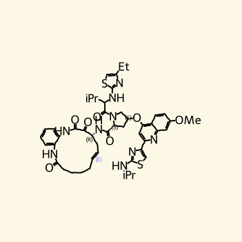 CCc1csc(NC(C(=O)N2C[C@@H](Oc3cc(-c4csc(NC(C)C)n4)nc4cc(OC)ccc34)C[C@H]2C(=O)N[C@@H]2C/C=C/CCCCC(=O)Nc3ccccc3NC(=O)C2=O)C(C)C)n1